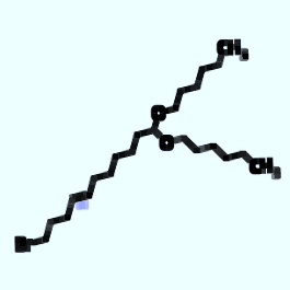 CCCCCCOC(CCCCC/C=C/CCCBr)OCCCCCC